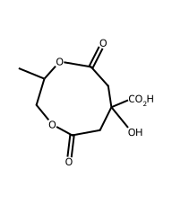 CC1COC(=O)CC(O)(C(=O)O)CC(=O)O1